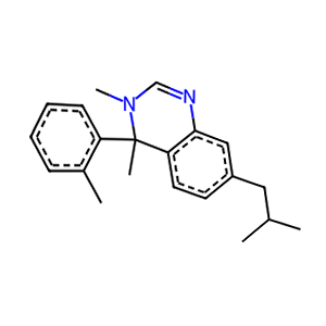 Cc1ccccc1C1(C)c2ccc(CC(C)C)cc2N=CN1C